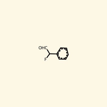 O=C[C](F)c1ccccc1